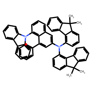 CC1(C)c2ccccc2-c2c(N(c3cc(-c4ccccc4)c4c(-n5c6ccccc6c6ccccc65)cccc4c3)c3cccc4c3-c3ccccc3C4(C)C)cccc21